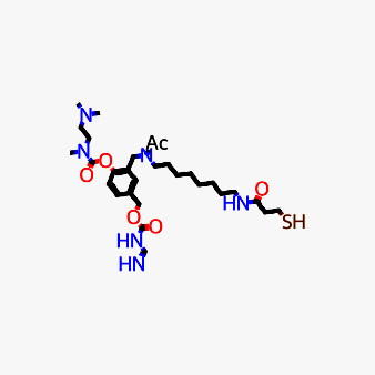 CC(=O)N(CCCCCCCCNC(=O)CCS)Cc1cc(COC(=O)NC=N)ccc1OC(=O)N(C)CCN(C)C